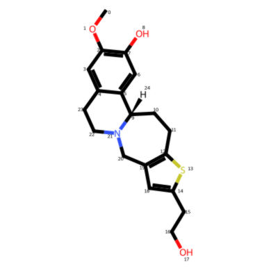 COc1cc2c(cc1O)[C@@H]1CCc3sc(CCO)cc3CN1CC2